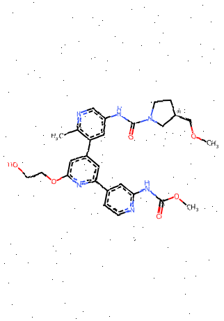 COC[C@@H]1CCN(C(=O)Nc2cnc(C)c(-c3cc(OCCO)nc(-c4ccnc(NC(=O)OC)c4)c3)c2)C1